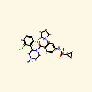 CN1CCN(C(=O)c2ccc(NC(=O)C3CC3)cc2N2CCCC2)C(c2ccccc2F)C1